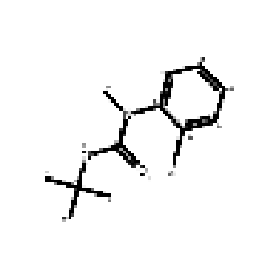 CN(C(=O)OC(C)(C)C)c1ccccc1I